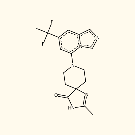 CC1=NC2(CCN(c3cc(C(F)(F)F)cc4cncn34)CC2)C(=O)N1